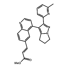 COC(=O)C=Cc1ccc2nccc(-c3c(-c4cccc(C)n4)nn4c3CCC4)c2c1